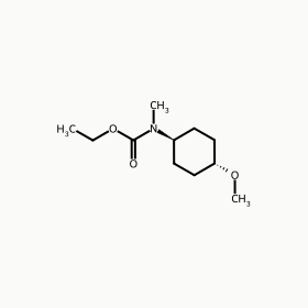 CCOC(=O)N(C)[C@H]1CC[C@H](OC)CC1